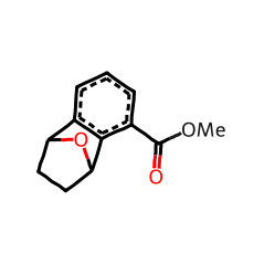 COC(=O)c1cccc2c1C1CCC2O1